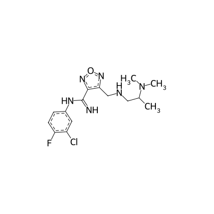 CC(CNCc1nonc1C(=N)Nc1ccc(F)c(Cl)c1)N(C)C